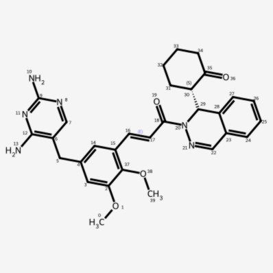 COc1cc(Cc2cnc(N)nc2N)cc(/C=C/C(=O)N2N=Cc3ccccc3C2[C@@H]2CCCCC2=O)c1OC